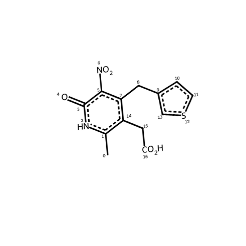 Cc1[nH]c(=O)c([N+](=O)[O-])c(Cc2ccsc2)c1CC(=O)O